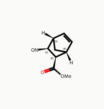 COC(=O)[C@H]1[C@@H](N=O)[C@@H]2C=C[C@H]1C2